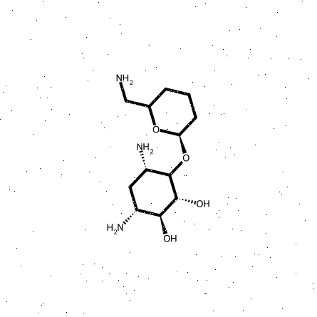 NCC1CCC[C@@H](OC2[C@@H](N)C[C@@H](N)[C@H](O)[C@H]2O)O1